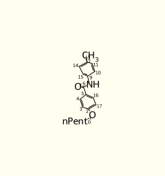 CCCCCOc1ccc(C(=O)Nc2ccc(C)cc2)cc1